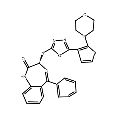 O=C1Nc2ccccc2C(c2ccccc2)=N[C@@H]1Nc1nnc(-c2ccsc2N2CCOCC2)o1